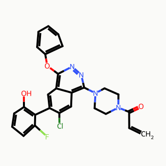 C=CC(=O)N1CCN(c2nnc(Oc3ccccc3)c3cc(-c4c(O)cccc4F)c(Cl)cc23)CC1